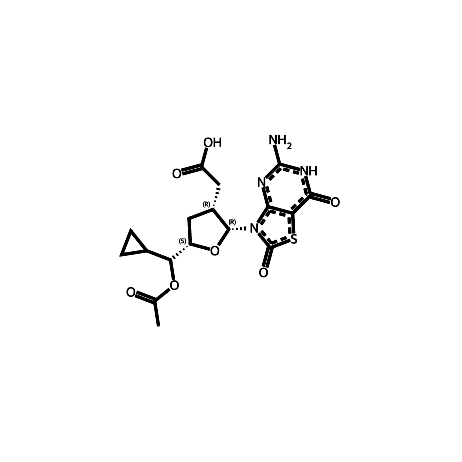 CC(=O)OC(C1CC1)[C@@H]1C[C@H](CC(=O)O)[C@H](n2c(=O)sc3c(=O)[nH]c(N)nc32)O1